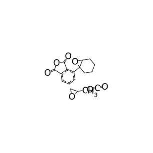 CC1CO1.O=C1OC(=O)c2c1cccc2C12CCCCC1O2.O=C=O